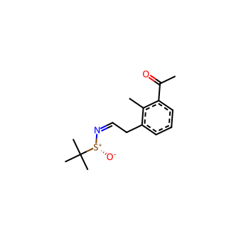 CC(=O)c1cccc(C/C=N\[S@+]([O-])C(C)(C)C)c1C